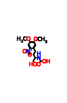 COc1cc(CCC(CO)NC(=O)O)c([N+](=O)[O-])cc1OC